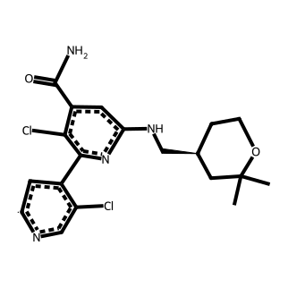 CC1(C)C[C@@H](CNc2cc(C(N)=O)c(Cl)c(-c3c[c]ncc3Cl)n2)CCO1